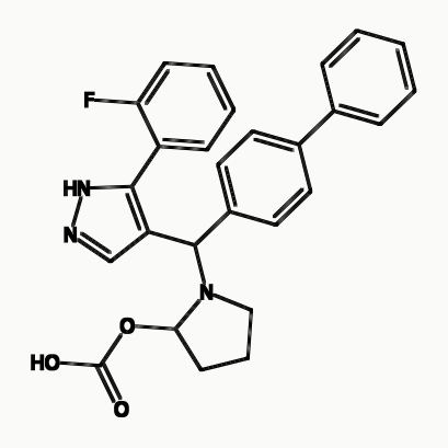 O=C(O)OC1CCCN1C(c1ccc(-c2ccccc2)cc1)c1cn[nH]c1-c1ccccc1F